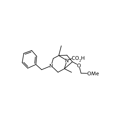 COCOC1CC2(C)CN(Cc3ccccc3)CC1(C)N2C(=O)O